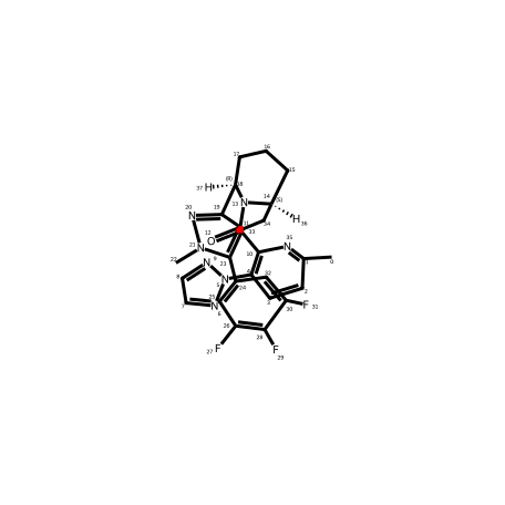 Cc1ccc(-n2nccn2)c(C(=O)N2[C@H]3CCC[C@@H]2c2nn(C)c(-c4cc(F)c(F)c(F)c4)c2C3)n1